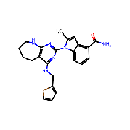 Cc1cc2c(C(N)=O)cccc2n1-c1nc2c(c(NCc3cccs3)n1)CCCCN2